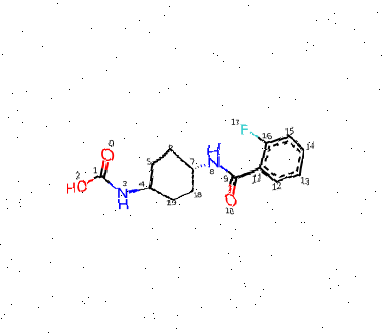 O=C(O)N[C@H]1CC[C@H](NC(=O)c2ccccc2F)CC1